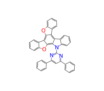 c1ccc(-c2cc(-c3ccccc3)nc(-n3c4ccccc4c4c5c6ccccc6oc5c5c6ccccc6oc5c43)n2)cc1